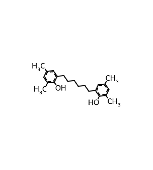 Cc1cc(C)c(O)c(CCCCCCc2cc(C)cc(C)c2O)c1